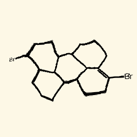 BrC1=C2CCCC3C4CCC(Br)C5CCCC(C(CC1)C23)C54